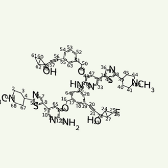 CN1CCC(c2ncc(-c3cnc(N)c(OCc4cc(C#CC5(O)C6C(F)C65)cc(Nc5ncc(-c6cnc(C7CCN(C)CC7)s6)cc5OCc5cccc(C#CC6(O)C7CC76)c5)c4)c3)s2)CC1